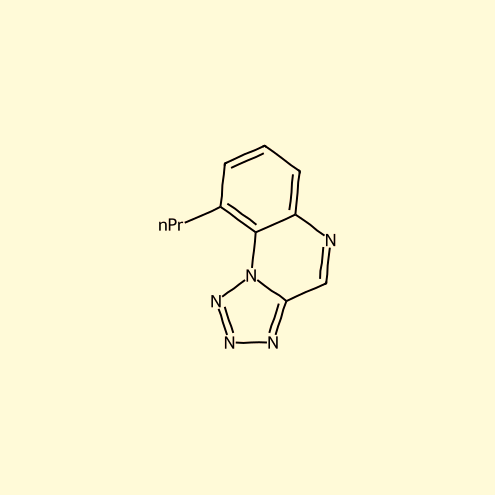 CCCc1cccc2ncc3nnnn3c12